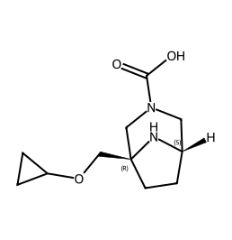 O=C(O)N1C[C@@H]2CC[C@](COC3CC3)(C1)N2